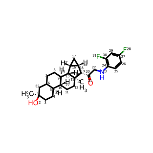 C[C@@]1(O)CC[C@H]2C(CC[C@@H]3[C@@H]2CC[C@@]2(C)[C@H]3[C@@H]3C[C@@H]3[C@@H]2C(=O)CNc2ccc(F)cc2F)C1